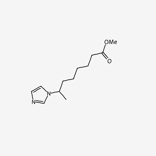 COC(=O)CCCCCC(C)n1ccnc1